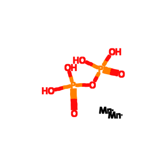 O=P(O)(O)OP(=O)(O)O.[Mn].[Mn]